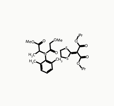 CC(C)OC(=O)C(C(=O)OC(C)C)=C1SCCS1.COCC(=O)N(c1c(C)cccc1C)C(C)C(=O)OC